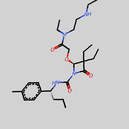 CCC[C@@H](NC(=O)N1C(=O)C(CC)(CC)[C@@H]1OCC(=O)N(CC)CCNCC)c1ccc(C)cc1